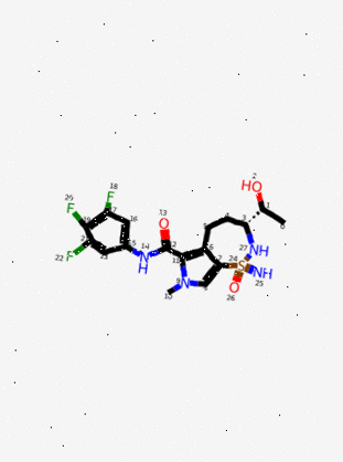 CC(O)[C@H]1CCc2c(cn(C)c2C(=O)Nc2cc(F)c(F)c(F)c2)S(=N)(=O)N1